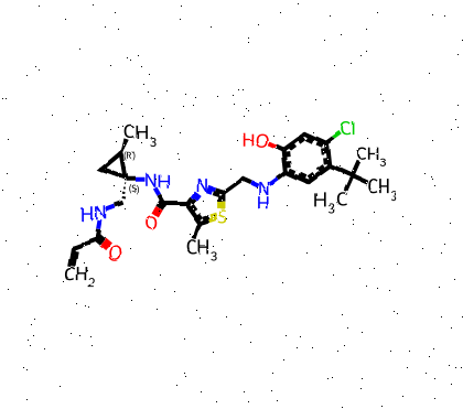 C=CC(=O)NC[C@]1(NC(=O)c2nc(CNc3cc(C(C)(C)C)c(Cl)cc3O)sc2C)C[C@H]1C